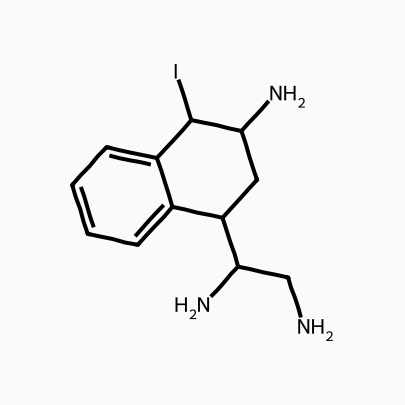 NCC(N)C1CC(N)C(I)c2ccccc21